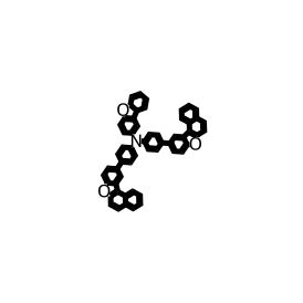 C1=CC2Oc3ccc(N(c4ccc(-c5ccc6oc7ccc8ccccc8c7c6c5)cc4)c4ccc(-c5ccc6oc7ccc8ccccc8c7c6c5)cc4)cc3C2C=C1